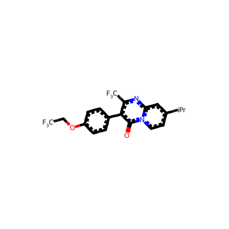 CC(C)c1ccn2c(=O)c(-c3ccc(OCC(F)(F)F)cc3)c(C(F)(F)F)nc2c1